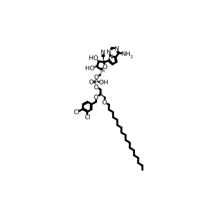 CCCCCCCCCCCCCCCCCCOC[C@H](COP(=O)(O)OC[C@H]1O[C@@](C#N)(c2ccc3c(N)ncnn23)[C@H](O)[C@@H]1O)OCc1ccc(Cl)c(Cl)c1